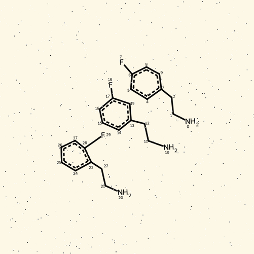 NCCc1ccc(F)cc1.NCCc1cccc(F)c1.NCCc1ccccc1F